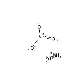 N.O=S([O-])[O-].[Pd+2]